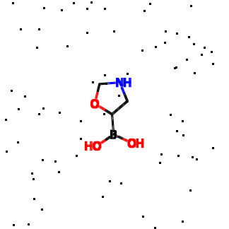 OB(O)C1CNCO1